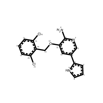 Nc1ncc(-c2ccc[nH]2)cc1OCc1c(Cl)cccc1Cl